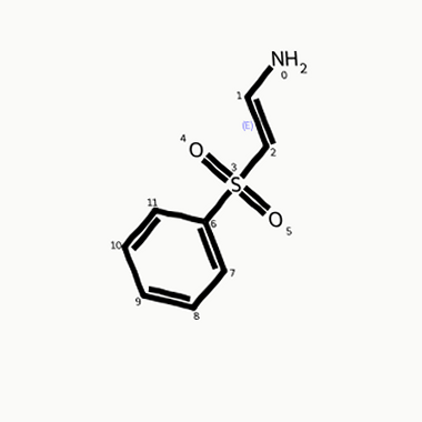 N/C=C/S(=O)(=O)c1ccccc1